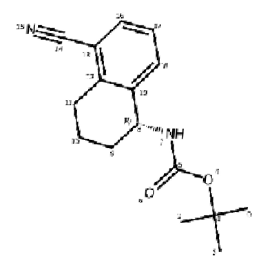 CC(C)(C)OC(=O)N[C@@H]1CCCc2c(C#N)cccc21